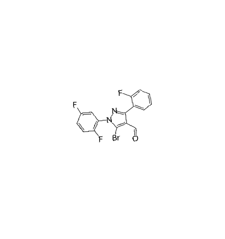 O=Cc1c(-c2ccccc2F)nn(-c2cc(F)ccc2F)c1Br